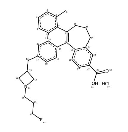 Cc1cccc(C)c1C1=C(c2ccc(CC3CN(CCCF)C3)cc2)c2ccc(C(=O)O)cc2CCC1.Cl